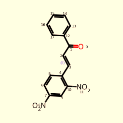 O=C(/C=C/c1ccc([N+](=O)[O-])cc1[N+](=O)[O-])c1ccccc1